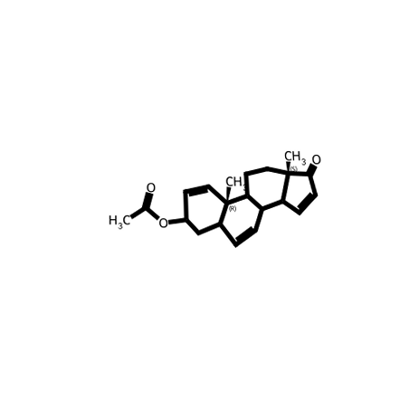 CC(=O)OC1C=C[C@@]2(C)C(C=CC3C2CC[C@]2(C)C(=O)C=CC32)C1